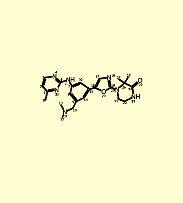 Cc1ccnc(Nc2cc(CN(C)C)cc(-c3cnc(N4CCNC(=O)C4(C)C)o3)c2)n1